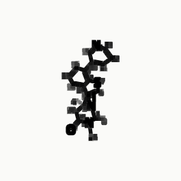 C=C1N[C@](C)(c2csc3c(-c4cccnc4)cccc23)CC(=O)N1C